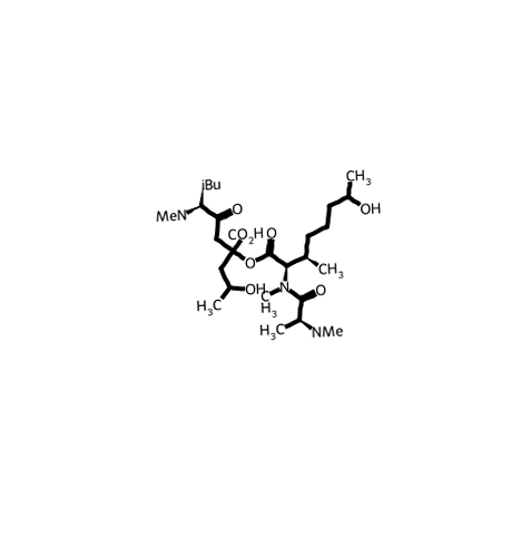 CC[C@H](C)[C@H](NC)C(=O)CC(CC(C)O)(OC(=O)[C@@H]([C@H](C)CCCC(C)O)N(C)C(=O)[C@H](C)NC)C(=O)O